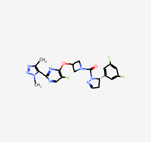 Cc1nnn(C)c1-c1ncc(F)c(OC2CN(C(=O)N3N=CC[C@H]3c3cc(F)cc(F)c3)C2)n1